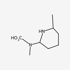 CC1CCCC(N(C)C(=O)O)N1